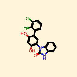 O=c1[nH]c2ccccc2n1-c1cc(-c2cccc(Cl)c2Cl)c(O)cc1O